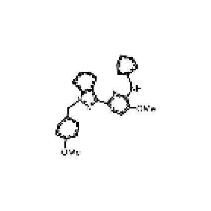 COc1ccc(Cn2nc(-c3ncc(OC)c(Nc4ccccc4)n3)c3ccccc32)cc1